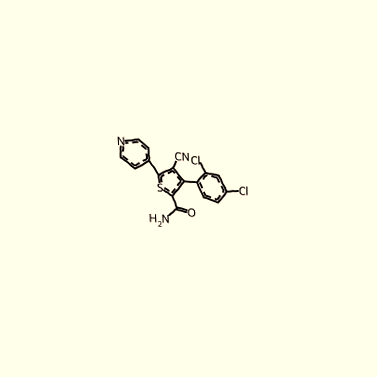 N#Cc1c(-c2ccncc2)sc(C(N)=O)c1-c1ccc(Cl)cc1Cl